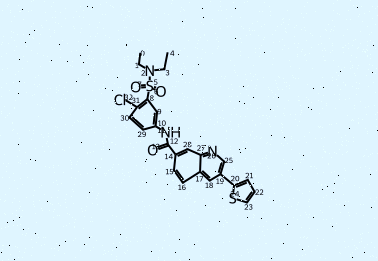 CCN(CC)S(=O)(=O)c1cc(NC(=O)c2ccc3cc(-c4cccs4)cnc3c2)ccc1Cl